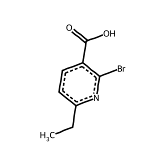 CCc1ccc(C(=O)O)c(Br)n1